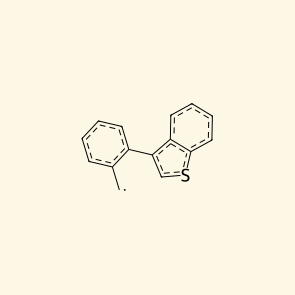 [CH2]c1ccccc1-c1csc2ccccc12